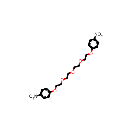 O=[N+]([O-])c1ccc(OCCOCCOCCOCCOc2ccc([N+](=O)[O-])cc2)cc1